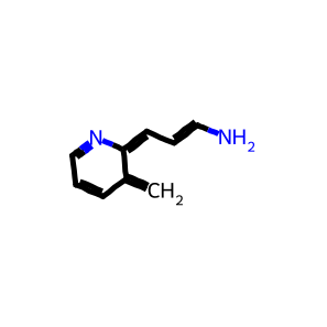 C=c1cccn/c1=C/C=C/N